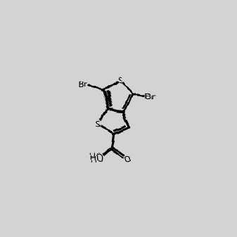 O=C(O)c1cc2c(Br)sc(Br)c2s1